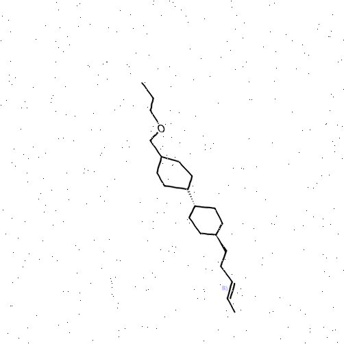 C/C=C/CC[C@H]1CC[C@H](C2CCC(COCCC)CC2)CC1